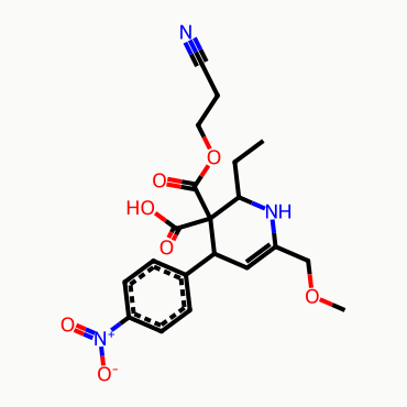 CCC1NC(COC)=CC(c2ccc([N+](=O)[O-])cc2)C1(C(=O)O)C(=O)OCCC#N